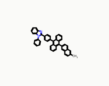 Cc1ccc2cc(-c3c4ccccc4c(-c4ccc(-c5nc6ccccc6n5-c5ccccc5)cc4)c4ccccc34)ccc2c1